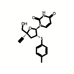 C#C[C@@]1(CO)C[C@@H](Sc2ccc(C)cc2)[C@H](n2ccc(=O)[nH]c2=O)O1